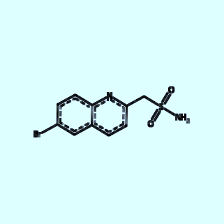 NS(=O)(=O)Cc1ccc2cc(Br)ccc2n1